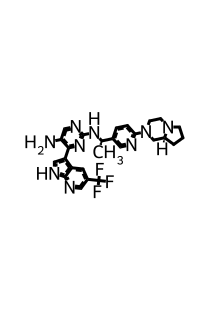 C[C@@H](Nc1ncc(N)c(-c2c[nH]c3ncc(C(F)(F)F)cc23)n1)c1ccc(N2CCN3CCC[C@H]3C2)nc1